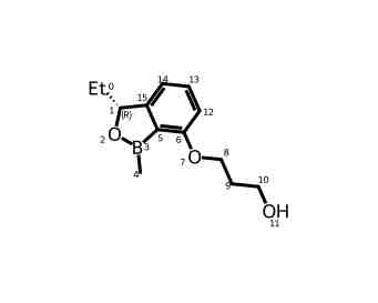 CC[C@H]1OB(C)c2c(OCCCO)cccc21